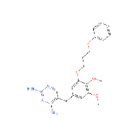 COc1cc(Cc2cnc(N)nc2N)cc(OCCCOc2ccccc2)c1OC